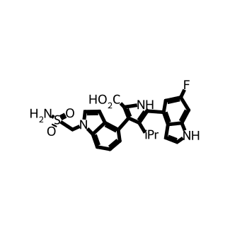 CC(C)c1c(-c2cc(F)cc3[nH]ccc23)[nH]c(C(=O)O)c1-c1cccc2c1ccn2CS(N)(=O)=O